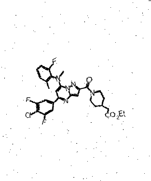 CCOC(=O)CC1CCN(C(=O)c2cc3nc(-c4cc(F)c(Cl)c(F)c4)cc(N(C)c4c(C)cccc4F)n3n2)CC1